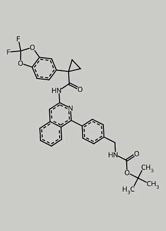 CC(C)(C)OC(=O)NCc1ccc(-c2nc(NC(=O)C3(c4ccc5c(c4)OC(F)(F)O5)CC3)cc3ccccc23)cc1